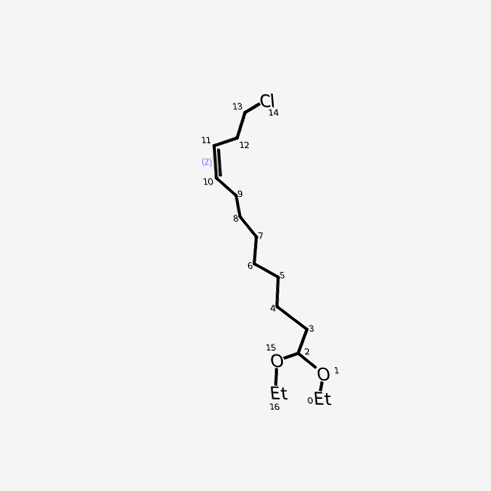 CCOC(CCCCCCC/C=C\CCCl)OCC